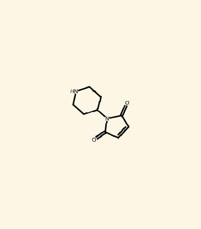 O=C1C=CC(=O)N1C1CCNCC1